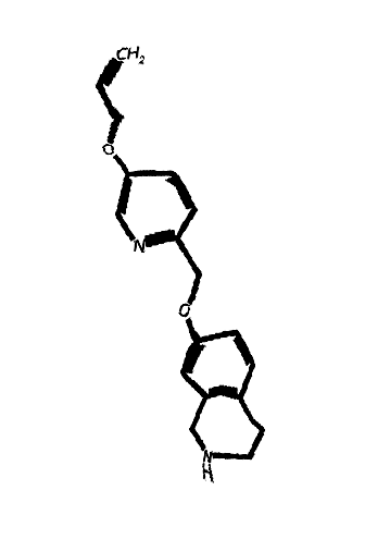 C=CCOc1ccc(COc2ccc3c(c2)CNCC3)nc1